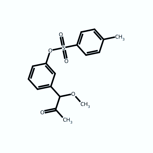 COC(C(C)=O)c1cccc(OS(=O)(=O)c2ccc(C)cc2)c1